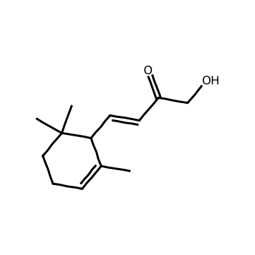 CC1=CCCC(C)(C)C1C=CC(=O)CO